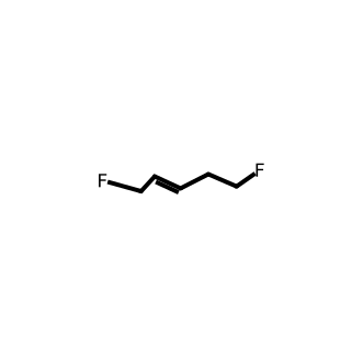 FCC=CCCF